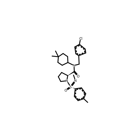 CN=[S@](=O)(c1ccc(C)cc1)N1CCC[C@H]1C(=O)N(Cc1ccc(Cl)cc1)C1CCC(C)(C)CC1